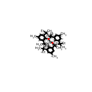 CCC(C)(C)c1cc(C)cc(C(C)(C)CC)c1OP(Oc1c(C(C)(C)CC)cc(C)cc1C(C)(C)CC)Oc1c(C(C)(C)CC)cc(C)cc1C(C)(C)CC